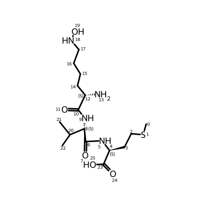 CSCC[C@H](NC(=O)[C@@H](NC(=O)[C@@H](N)CCCCNO)C(C)C)C(=O)O